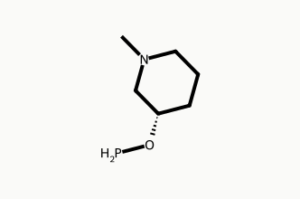 CN1CCC[C@H](OP)C1